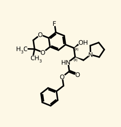 CC1(C)COc2c(F)cc([C@@H](O)[C@@H](CN3CCCC3)NC(=O)OCc3ccccc3)cc2O1